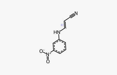 N#C/C=[C]/Nc1cccc([N+](=O)[O-])c1